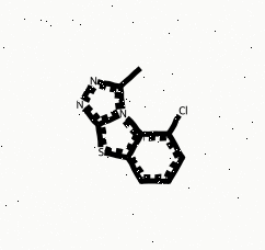 Cc1nnc2sc3cccc(Cl)c3n12